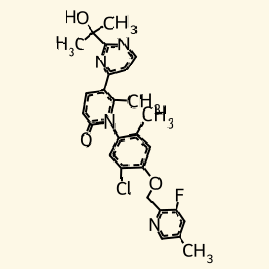 Cc1cnc(COc2cc(C)c(-n3c(C)c(-c4ccnc(C(C)(C)O)n4)ccc3=O)cc2Cl)c(F)c1